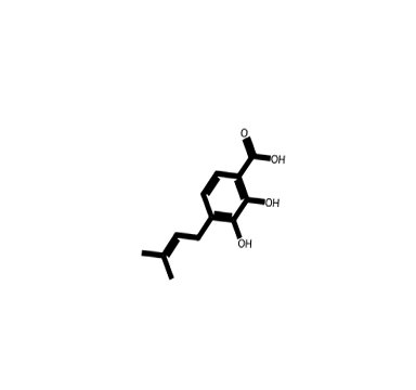 CC(C)=CCc1ccc(C(=O)O)c(O)c1O